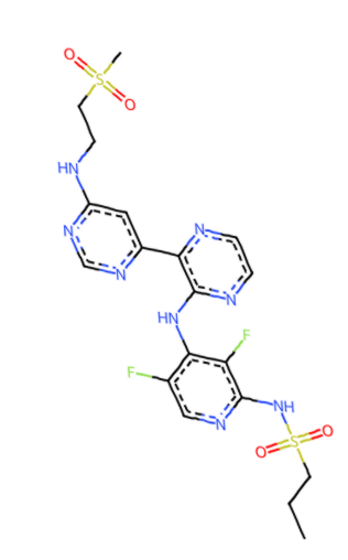 CCCS(=O)(=O)Nc1ncc(F)c(Nc2nccnc2-c2cc(NCCS(C)(=O)=O)ncn2)c1F